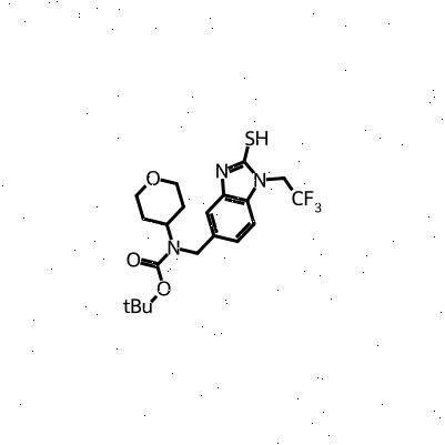 CC(C)(C)OC(=O)N(Cc1ccc2c(c1)nc(S)n2CC(F)(F)F)C1CCOCC1